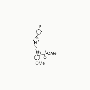 COc1ccc2c(c1)c(C(=O)N(C)OC)cn2CCCN1CCN(c2ccc(F)cc2)CC1